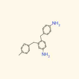 Cc1ccc(Cc2cc(N)ccc2Cc2ccc(N)cc2)cc1